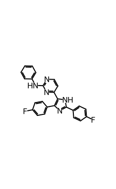 Fc1ccc(-c2nc(-c3ccc(F)cc3)c(-c3ccnc(Nc4ccccc4)n3)[nH]2)cc1